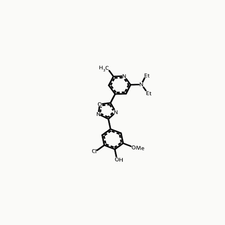 CCN(CC)c1cc(-c2nc(-c3cc(Cl)c(O)c(OC)c3)no2)cc(C)n1